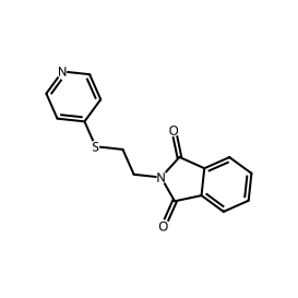 O=C1c2ccccc2C(=O)N1CCSc1ccncc1